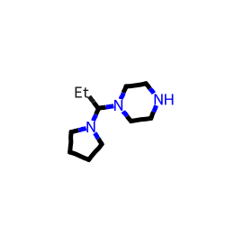 CCC(N1CCCC1)N1CCNCC1